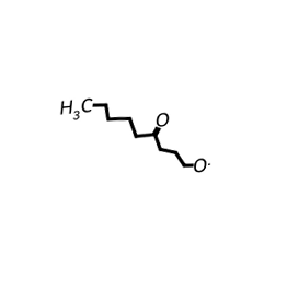 CCCCCC(=O)CCC[O]